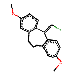 COc1ccc2c(c1)CCc1cc(OC)ccc1C2=CBr